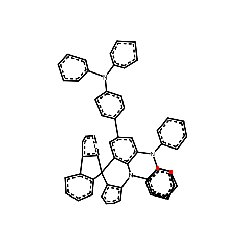 c1ccc(N(c2ccccc2)c2ccc(-c3cc(N(c4ccccc4)c4ccccc4)c4c(c3)C3(c5ccccc5-c5ccccc53)c3ccccc3N4c3ccccc3)cc2)cc1